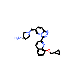 C[C@H](c1ccc2nnc(-c3ccc4cccc(OCC5CC5)c4n3)n2c1)N1CC[C@H](N)C1